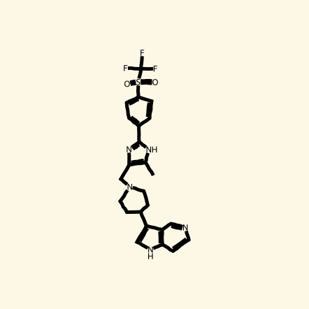 Cc1[nH]c(-c2ccc(S(=O)(=O)C(F)(F)F)cc2)nc1CN1CCC(c2c[nH]c3ccncc23)CC1